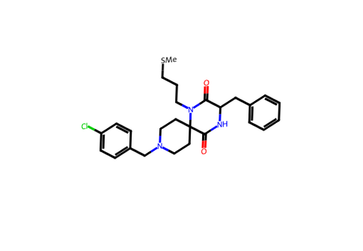 CSCCCN1C(=O)C(Cc2ccccc2)NC(=O)C12CCN(Cc1ccc(Cl)cc1)CC2